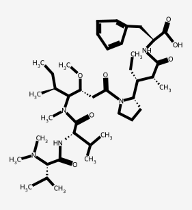 CC[C@H]([C@@H](C)C(=O)N[C@@H](Cc1ccccc1)C(=O)O)[C@@H]1CCCN1C(=O)C[C@@H](OC)C([C@@H](C)CC)N(C)C(=O)[C@@H](NC(=O)[C@H](C(C)C)N(C)C)C(C)C